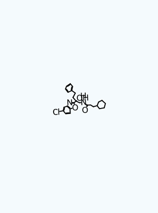 O=C(CCC1CCCCC1)NCC(O)(CCc1ccccc1)c1nc2cc(Cl)ccc2o1